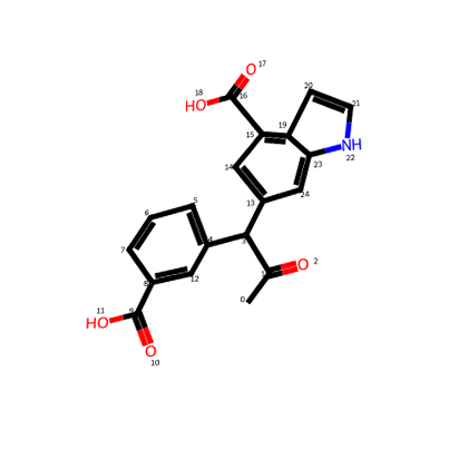 CC(=O)C(c1cccc(C(=O)O)c1)c1cc(C(=O)O)c2cc[nH]c2c1